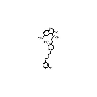 COc1ccc2ncc(Cl)c([C@H](O)CCC3(C(=O)O)CCN(CCCSc4cccc(Cl)c4)CC3)c2c1